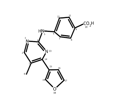 Cc1cnc(Nc2ccc(C(=O)O)cc2)nc1-c1ccoc1